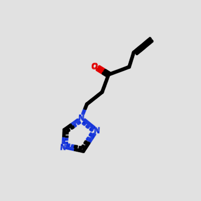 C=CCC(=O)CCn1cncn1